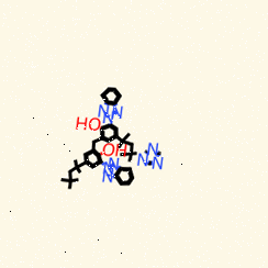 CC(C)(C)CC(C)(C)c1cc(Cc2cc(C(C)(C)CC(C)(C)C)cc(-n3nc4ccccc4n3)c2O)c(O)c(-n2nc3ccccc3n2)c1.c1ncncn1